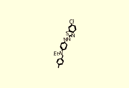 CCN(Cc1ccc(C)cc1)c1ccc(N=Nc2nc3ccc(Cl)cc3s2)cc1